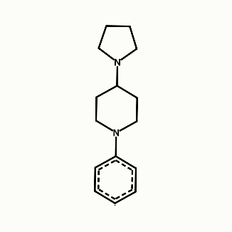 [c]1ccc(N2CCC(N3CCCC3)CC2)cc1